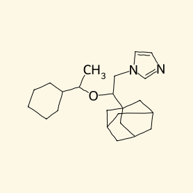 CC(OC(Cn1ccnc1)C12CC3CC(CC(C3)C1)C2)C1CCCCC1